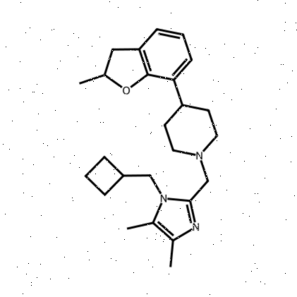 Cc1nc(CN2CCC(c3cccc4c3OC(C)C4)CC2)n(CC2CCC2)c1C